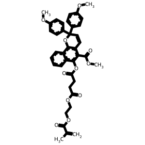 C=C(C)C(=O)OCCOC(=O)CCC(=O)Oc1c(C(=O)OC)c2c(c3ccccc13)OC(c1ccc(OC)cc1)(c1ccc(OC)cc1)C=C2